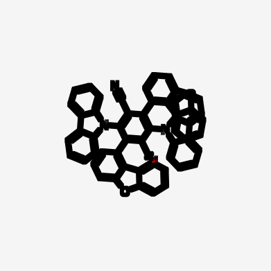 N#Cc1c(-c2cccc3oc4ccccc4c23)c(-n2c3ccccc3c3ccccc32)c(C#N)c(-c2cccc3oc4ccccc4c23)c1-n1c2ccccc2c2ccccc21